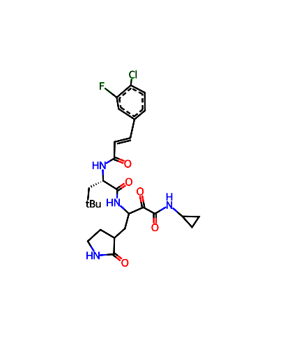 CC(C)(C)C[C@H](NC(=O)/C=C/c1ccc(Cl)c(F)c1)C(=O)NC(CC1CCNC1=O)C(=O)C(=O)NC1CC1